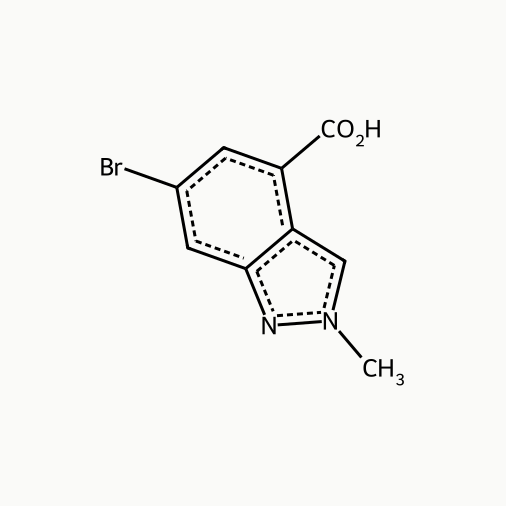 Cn1cc2c(C(=O)O)cc(Br)cc2n1